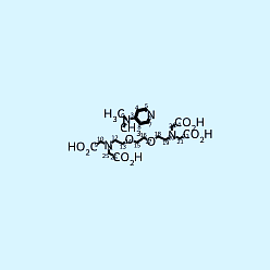 CN(C)c1ccncc1.O=C(O)CN(CCOCCOCCN(CC(=O)O)CC(=O)O)CC(=O)O